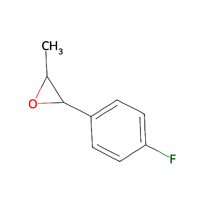 CC1OC1c1ccc(F)cc1